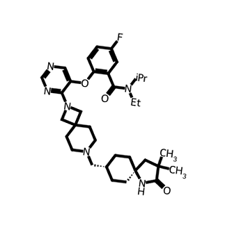 CCN(C(=O)c1cc(F)ccc1Oc1cncnc1N1CC2(CCN(C[C@H]3CC[C@]4(CC3)CC(C)(C)C(=O)N4)CC2)C1)C(C)C